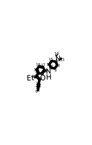 CC#Cc1oc2c(NC3CCC(N(C)C)CC3)cccc2c1CC